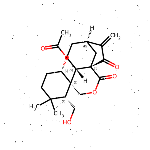 C=C1C(=O)[C@]23C[C@H]1CC[C@H]2[C@]1(COC3=O)[C@@H](OC(C)=O)CCC(C)(C)[C@H]1CO